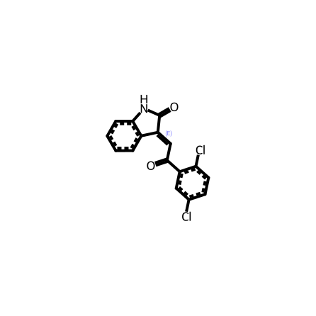 O=C1Nc2ccccc2/C1=C\C(=O)c1cc(Cl)ccc1Cl